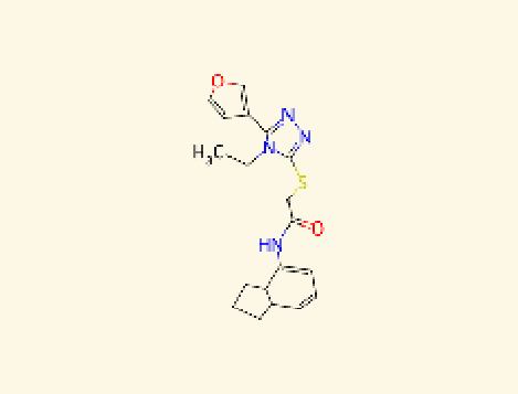 CCn1c(SCC(=O)NC2=CC=CC3CCCC23)nnc1-c1ccoc1